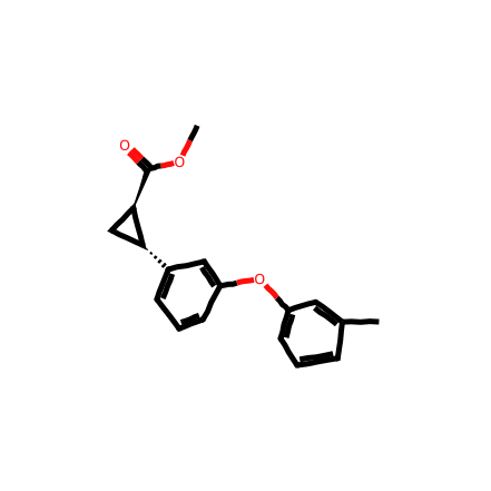 COC(=O)[C@@H]1C[C@H]1c1cccc(Oc2cccc(C)c2)c1